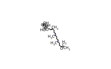 CC(=CCOP(=O)(O)OP(=O)(O)O)CC/C=C(\C)CC/C=C(\C)CCC1OC1(C)C